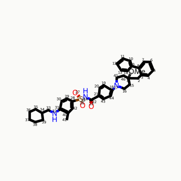 COC1(Cc2ccccc2-c2ccccc2)CCN(c2ccc(C(=O)NS(=O)(=O)c3ccc(NCC4CCCCC4)c(C)c3)cc2)CC1